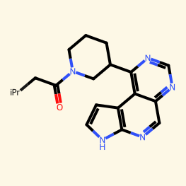 CC(C)CC(=O)N1CCCC(c2ncnc3cnc4[nH]ccc4c23)C1